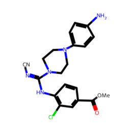 COC(=O)c1ccc(N/C(=N/C#N)N2CCN(c3ccc(N)cc3)CC2)c(Cl)c1